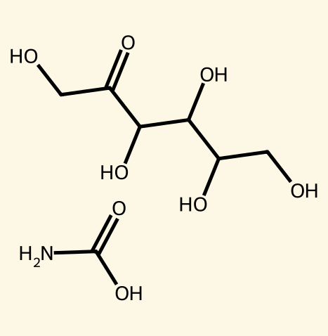 NC(=O)O.O=C(CO)C(O)C(O)C(O)CO